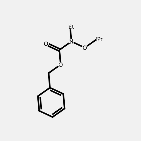 CCN(OC(C)C)C(=O)OCc1ccccc1